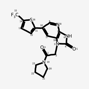 O=C(Cn1c(=O)[nH]c2ncc(-c3ccc(C(F)(F)F)s3)cc21)N1CCCC1